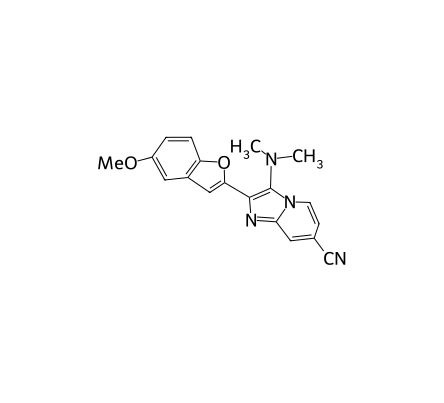 COc1ccc2oc(-c3nc4cc(C#N)ccn4c3N(C)C)cc2c1